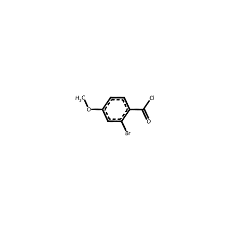 COc1ccc(C(=O)Cl)c(Br)c1